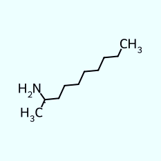 CCCCCCCC[C](C)N